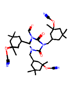 CN(CC1CC(C)(C)CC(C)(OC#N)C1)C(=O)N(CC1CC(C)(C)CC(C)(OC#N)C1)C(=O)N(C=O)CC1CC(C)(C)CC(C)(OC#N)C1